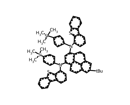 CC(C)(C)c1cc2ccc3c(N(c4ccc([Si](C)(C)C)cc4)c4cccc5c4sc4ccccc45)cc(N(c4ccc([Si](C)(C)C)cc4)c4cccc5c4sc4ccccc45)c4ccc(c1)c2c34